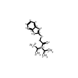 CC(C)N(C(=O)CSc1nc2cccnc2s1)C(C)C